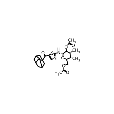 CC(=O)OCC1O[C@H](Nc2ncc(C(=O)C34CC5CC(CC(C5)C3)C4)s2)C(OC(C)=O)[C@@H](C)[C@@H]1C